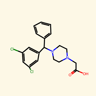 O=C(O)CN1CCN(C(c2ccccc2)c2cc(Cl)cc(Cl)c2)CC1